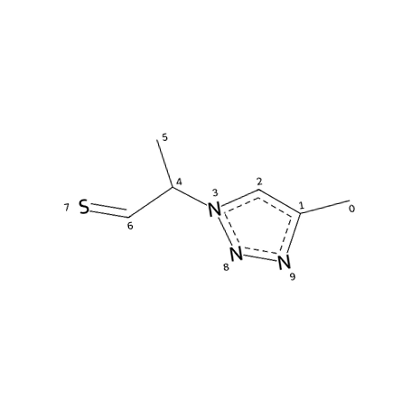 Cc1cn(C(C)C=S)nn1